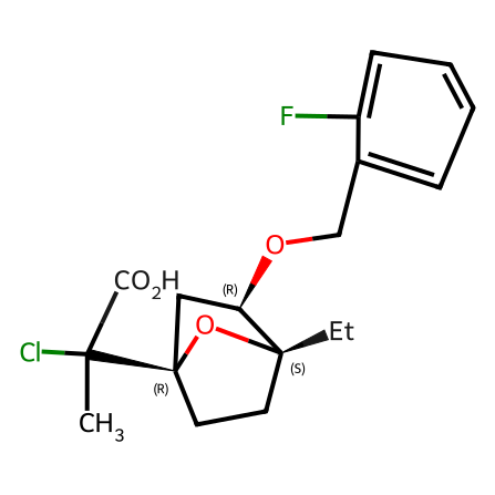 CC[C@]12CC[C@](C(C)(Cl)C(=O)O)(C[C@H]1OCc1ccccc1F)O2